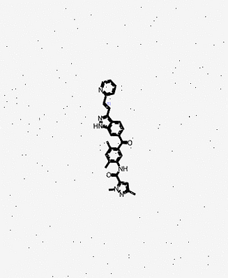 Cc1cc(C(=O)Nc2cc(C(=O)c3ccc4c(/C=C/c5ccccn5)n[nH]c4c3)c(C)cc2C)n(C)n1